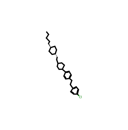 CCCCC[C@H]1CC[C@H](CCC2CCC(c3ccc(CCc4ccc(Cl)cc4)cc3)CC2)CC1